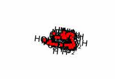 CC[C@H](C)[C@H](NC(=O)[C@H](CS)NC(=O)[C@H](CC(=O)O)NC(=O)CNC(=O)[C@@H]1CCCN1C(=O)[C@H](CS)NC(=O)[C@H](CC(=O)O)NC(=O)[C@@H](N)CO)C(=O)N[C@@H](CS)C(=O)N[C@@H](CCCNC(=N)N)C(=O)NCC(=O)N[C@@H](CC(N)=O)C(=O)NCC(=O)N[C@@H](Cc1ccc(O)cc1)C(=O)N[C@@H](CS)C(=O)NCC(=O)O